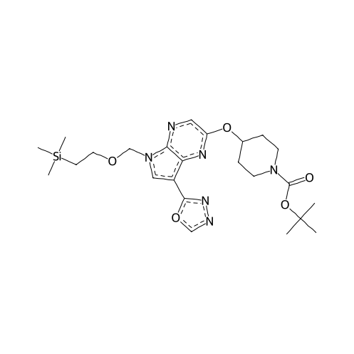 CC(C)(C)OC(=O)N1CCC(Oc2cnc3c(n2)c(-c2nnco2)cn3COCC[Si](C)(C)C)CC1